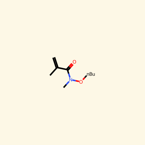 C=C(C)C(=O)N(C)OCCCC